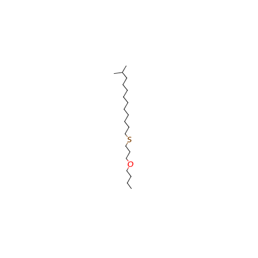 CCCCOCCCSCCCCCCCCCCC(C)C